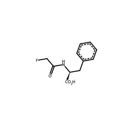 O=C(CF)N[C@@H](Cc1ccccc1)C(=O)O